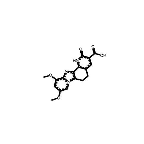 COc1cc(OC)c2nc3c(n2c1)CCc1cc(C(=O)O)c(=O)[nH]c1-3